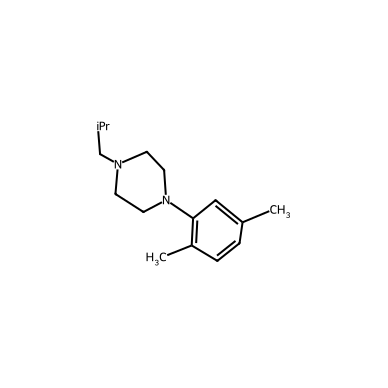 Cc1ccc(C)c(N2CCN(CC(C)C)CC2)c1